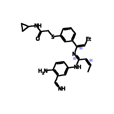 C\C=C/C(=N\C(=C\CC)c1cccc(SCC(=O)NC2CC2)c1)Nc1ccc(N)c(C=N)c1